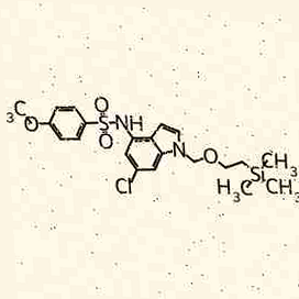 COc1ccc(S(=O)(=O)Nc2cc(Cl)cc3c2ccn3COCC[Si](C)(C)C)cc1